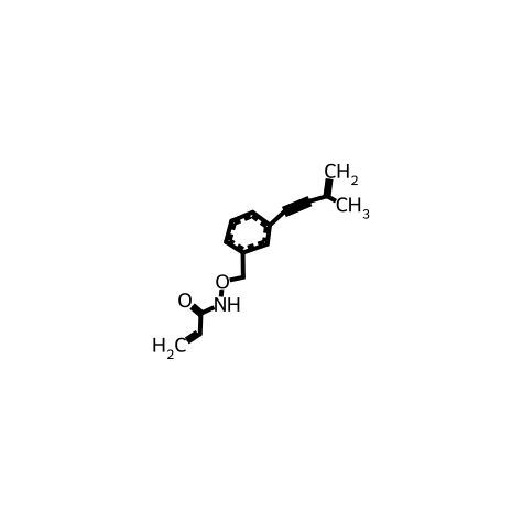 C=CC(=O)NOCc1cccc(C#CC(=C)C)c1